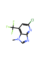 Cn1cnc2nc(Cl)cc(C(F)(F)F)c21